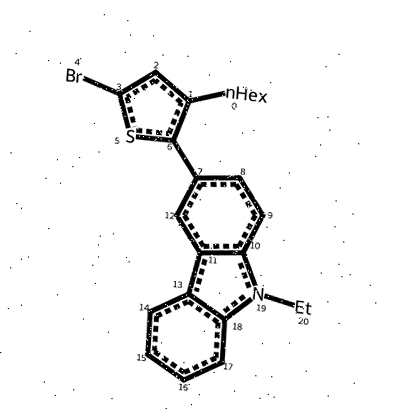 CCCCCCc1cc(Br)sc1-c1ccc2c(c1)c1ccccc1n2CC